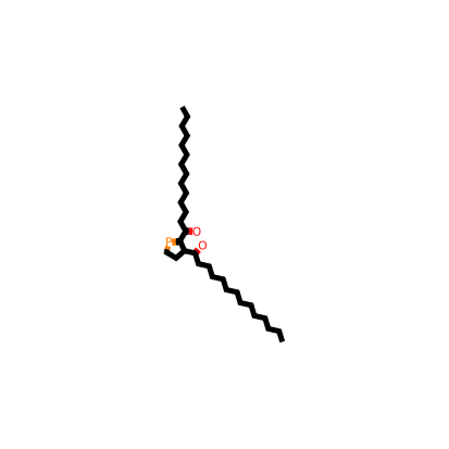 CCCCCCCCCCCCCC(=O)C1=PCCC1C(=O)CCCCCCCCCCCCC